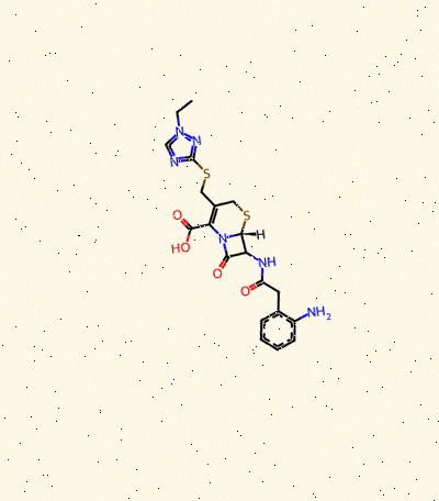 CCn1cnc(SCC2=C(C(=O)O)N3C(=O)C(NC(=O)Cc4ccccc4N)[C@H]3SC2)n1